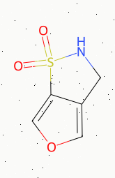 O=S1(=O)NCc2cocc21